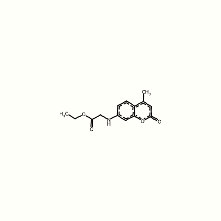 CCOC(=O)CNc1ccc2c(C)cc(=O)oc2c1